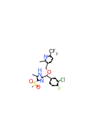 Cc1nc(C(F)(F)F)ccc1COC(c1ccc(F)c(Cl)c1)c1nc(S(C)(=O)=O)c(C)[nH]1